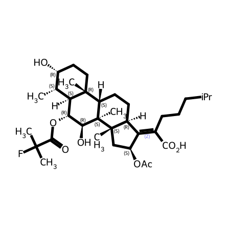 CC(=O)O[C@H]1C[C@@]2(C)[C@@H](CC[C@H]3[C@@]4(C)CC[C@@H](O)[C@@H](C)[C@@H]4[C@@H](OC(=O)C(C)(C)F)[C@H](O)[C@@]32C)/C1=C(\CCCC(C)C)C(=O)O